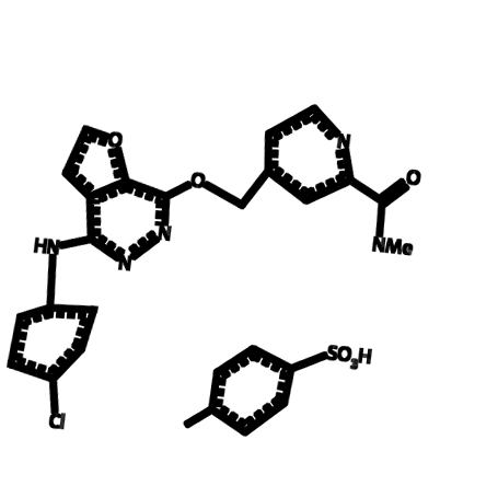 CNC(=O)c1cc(COc2nnc(Nc3ccc(Cl)cc3)c3ccoc23)ccn1.Cc1ccc(S(=O)(=O)O)cc1